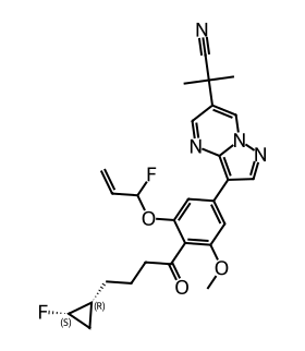 C=CC(F)Oc1cc(-c2cnn3cc(C(C)(C)C#N)cnc23)cc(OC)c1C(=O)CCC[C@@H]1C[C@@H]1F